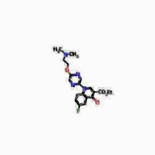 CCOC(=O)c1cn(-c2cnc(OCCN(C)C)cn2)c2ccc(F)cc2c1=O